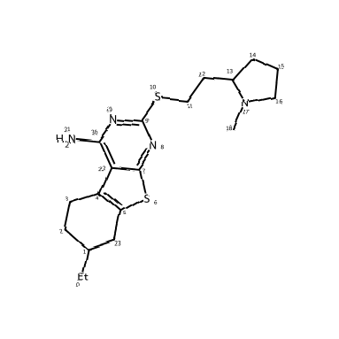 CCC1CCc2c(sc3nc(SCCC4CCCN4C)nc(N)c23)C1